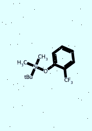 CC(C)(C)[Si](C)(C)Oc1cc[c]cc1C(F)(F)F